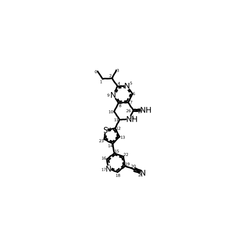 CCC(C)c1ncc2c(n1)CC(c1cc(-c3cncc(C#N)c3)cs1)NC2=N